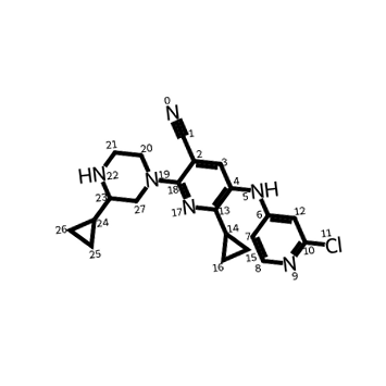 N#Cc1cc(Nc2ccnc(Cl)c2)c(C2CC2)nc1N1CCNC(C2CC2)C1